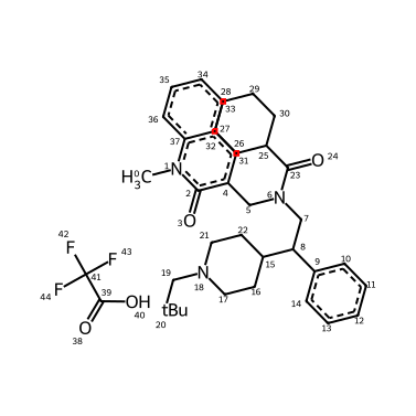 Cn1c(=O)c(CN(CC(c2ccccc2)C2CCN(CC(C)(C)C)CC2)C(=O)C2CCCCC2)cc2ccccc21.O=C(O)C(F)(F)F